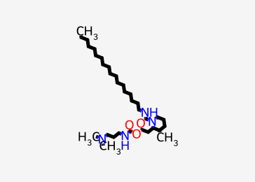 CCCCCCCCCCCCCCCCCCNC(=O)N1CCCC(C)C1CCOC(=O)NCCCN(C)C